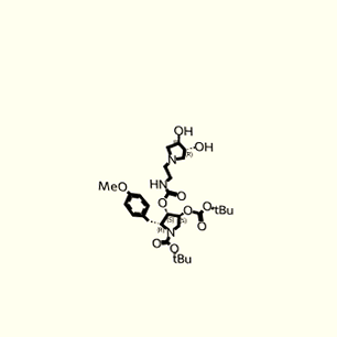 COc1ccc(C[C@@H]2[C@H](OC(=O)NCCN3C[C@@H](O)[C@H](O)C3)[C@@H](OC(=O)OC(C)(C)C)CN2C(=O)OC(C)(C)C)cc1